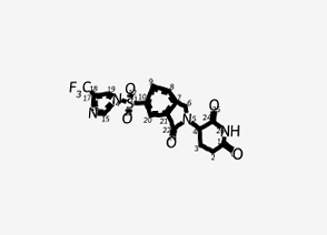 O=C1CCC(N2Cc3ccc(S(=O)(=O)n4cnc(C(F)(F)F)c4)cc3C2=O)C(=O)N1